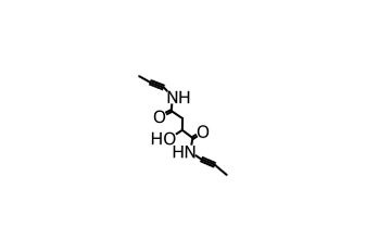 CC#CNC(=O)CC(O)C(=O)NC#CC